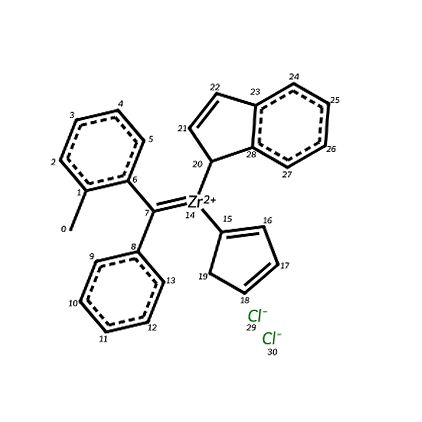 Cc1ccccc1[C](c1ccccc1)=[Zr+2]([C]1=CC=CC1)[CH]1C=Cc2ccccc21.[Cl-].[Cl-]